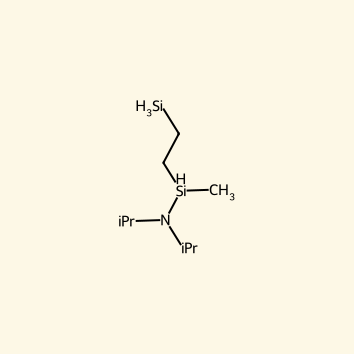 CC(C)N(C(C)C)[SiH](C)CC[SiH3]